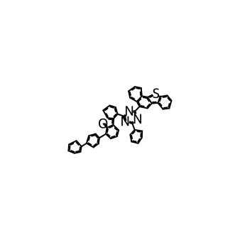 c1ccc(-c2ccc(-c3cccc4c3oc3cccc(-c5nc(-c6ccccc6)nc(-c6cc7c8ccccc8sc7c7ccccc67)n5)c34)cc2)cc1